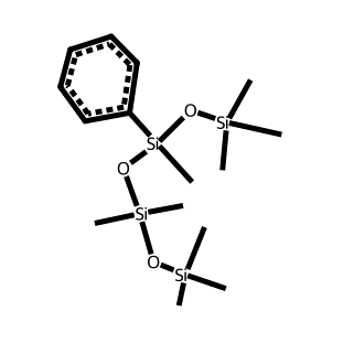 C[Si](C)(C)O[Si](C)(C)O[Si](C)(O[Si](C)(C)C)c1ccccc1